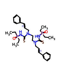 CCP(=O)(CC)NC(=S)N(C/C=C/c1ccccc1)CCN(C/C=C/c1ccccc1)C(=S)NP(=O)(CC)CC